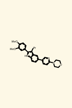 COc1ccc(-c2[nH]c3ccc(-c4ccc(N5CCOCC5)nc4)cc3c2C(C)C)cc1OC